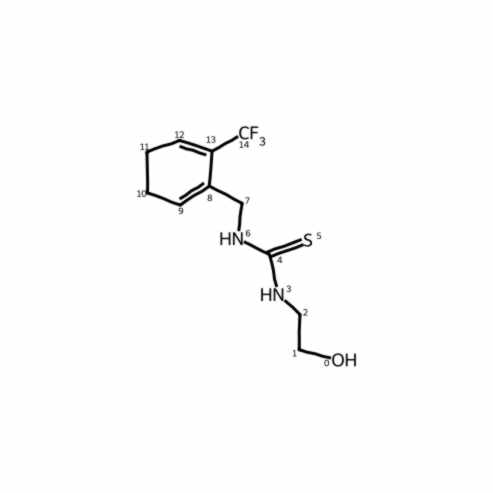 OCCNC(=S)NCC1=CCCC=C1C(F)(F)F